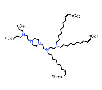 CCCCCCC/C=C\CCCCCCCN(CCN(CCCCCCCC/C=C\CCCCCCCC)CCCCCCCC/C=C\CCCCCCCC)CCN1CCN(CCN(CCCCCCCCCCCC)CCCCCCCCCCCC)CC1